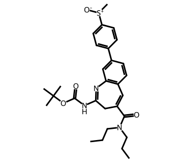 CCCN(CCC)C(=O)C1=Cc2ccc(-c3ccc([S+](C)[O-])cc3)cc2N=C(NC(=O)OC(C)(C)C)C1